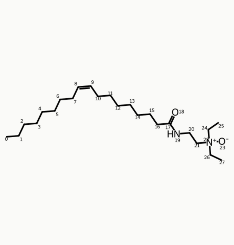 CCCCCCCC/C=C\CCCCCCCC(=O)NCC[N+]([O-])(CC)CC